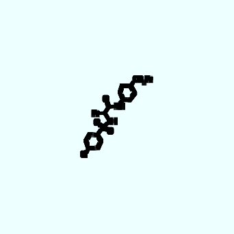 CCOC(=O)c1ccc(NC(=O)C(CC)NS(=O)(=O)c2ccc(Cl)cc2)cc1